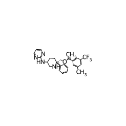 Cc1cc([C@@H](C)OC[C@@]2(c3ccccc3)CCC(Nc3ncccn3)CN2)cc(C(F)(F)F)c1